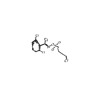 O=S(=O)(CCCCl)ON=C(Cl)c1c(Cl)cccc1Cl